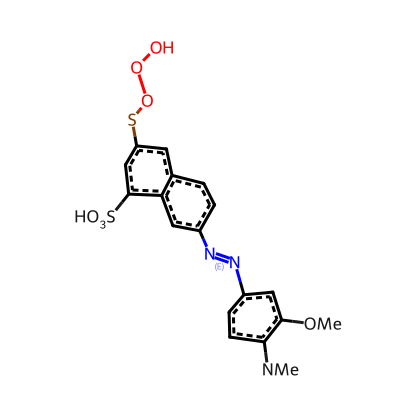 CNc1ccc(/N=N/c2ccc3cc(SOOO)cc(S(=O)(=O)O)c3c2)cc1OC